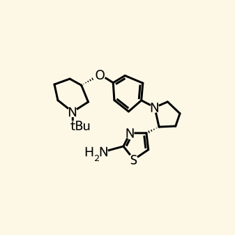 CC(C)(C)N1CCC[C@H](Oc2ccc(N3CCC[C@@H]3c3csc(N)n3)cc2)C1